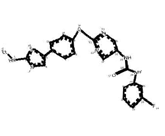 CCNc1ncc(-c2ccc(Oc3ncc(NC(=O)Nc4cccc(F)c4)cn3)cc2)s1